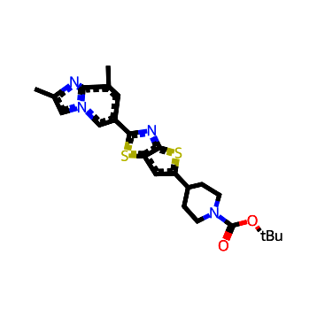 Cc1cn2cc(-c3nc4sc(C5CCN(C(=O)OC(C)(C)C)CC5)cc4s3)cc(C)c2n1